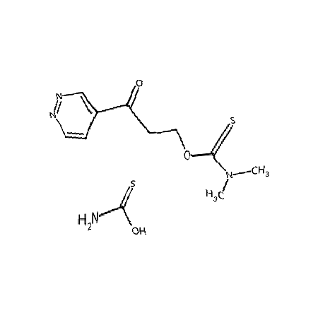 CN(C)C(=S)OCCC(=O)c1ccnnc1.NC(O)=S